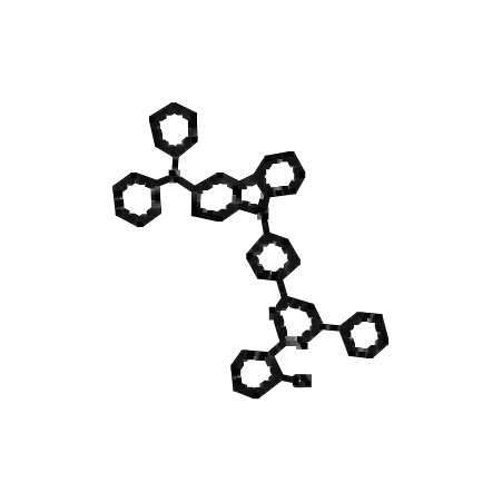 N#Cc1ccccc1-c1nc(-c2ccccc2)cc(-c2ccc(-n3c4ccccc4c4cc(N(c5ccccc5)c5ccccc5)ccc43)cc2)n1